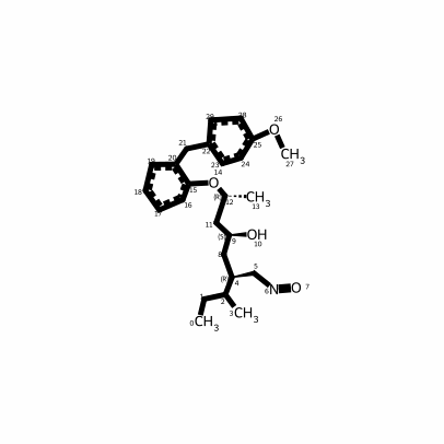 CCC(C)[C@H](CN=O)C[C@H](O)C[C@@H](C)Oc1ccccc1Cc1ccc(OC)cc1